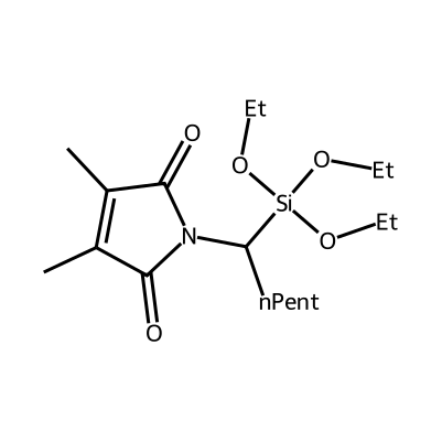 CCCCCC(N1C(=O)C(C)=C(C)C1=O)[Si](OCC)(OCC)OCC